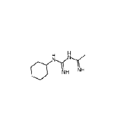 CC(=N)NC(=N)NC1CCCCC1